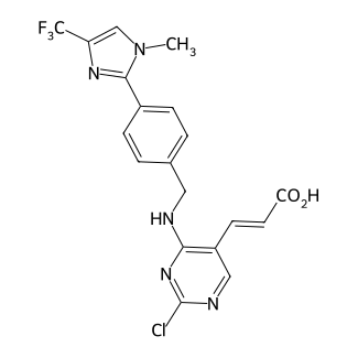 Cn1cc(C(F)(F)F)nc1-c1ccc(CNc2nc(Cl)ncc2/C=C/C(=O)O)cc1